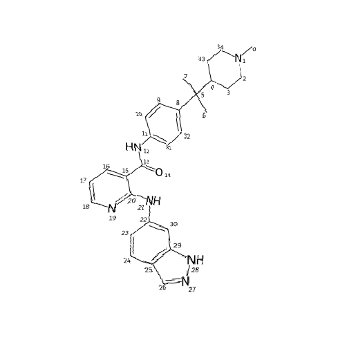 CN1CCC(C(C)(C)c2ccc(NC(=O)c3cccnc3Nc3ccc4cn[nH]c4c3)cc2)CC1